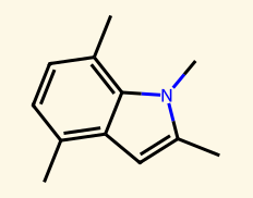 Cc1ccc(C)c2c1cc(C)n2C